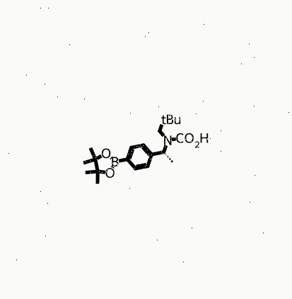 C[C@H](c1ccc(B2OC(C)(C)C(C)(C)O2)cc1)N(CC(C)(C)C)C(=O)O